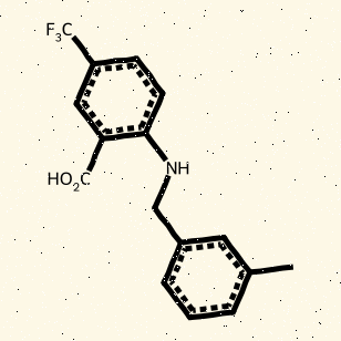 Cc1cccc(CNc2ccc(C(F)(F)F)cc2C(=O)O)c1